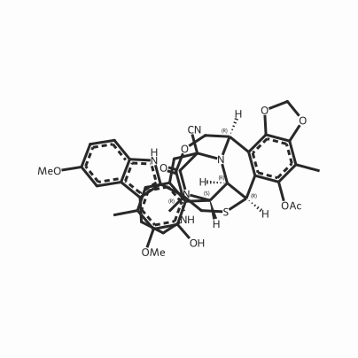 COc1ccc2[nH]c3c(c2c1)CCN[C@]31CS[C@@H]2c3c(OC(C)=O)c(C)c4c(c3[C@H](COC1=O)N1[C@@H]2[C@@H]2c3c(cc(C)c(OC)c3O)CC1(C#N)CN2C)OCO4